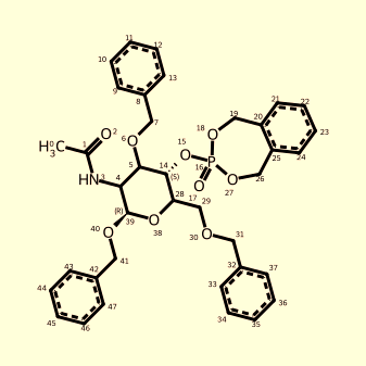 CC(=O)NC1C(OCc2ccccc2)[C@H](OP2(=O)OCc3ccccc3CO2)C(COCc2ccccc2)O[C@H]1OCc1ccccc1